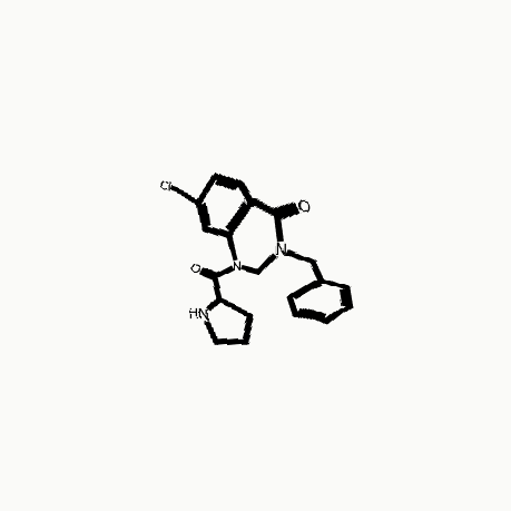 O=C1c2ccc(Cl)cc2N(C(=O)C2CCCN2)CN1Cc1ccccc1